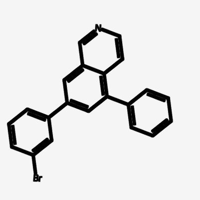 Brc1cccc(-c2cc(-c3ccccc3)c3ccncc3c2)c1